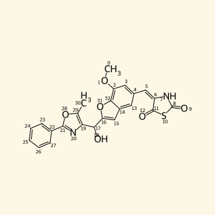 COc1cc(C=C2NC(=O)SC2=O)cc2cc(C(O)c3nc(-c4ccccc4)oc3C)oc12